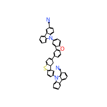 N#Cc1ccc2c(c1)c1ccccc1n2-c1ccc2oc3ccc(C4=CC=C5Sc6ccc(-n7c8ccccc8c8cccc(C#N)c87)cc6C5C4)cc3c2c1